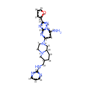 Nc1cc(N2CCN3CC(CNc4ncccn4)CCC3C2)nc2nc(-c3ccco3)nn12